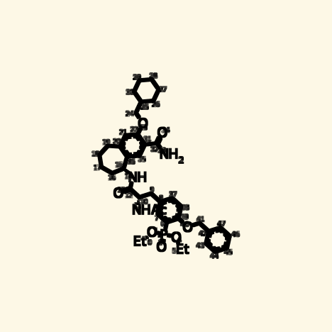 CCOP(=O)(OCC)c1cc(C[C@H](NC(C)=O)C(=O)N[C@H]2CCCCc3cc(OCC4CCCCC4)c(C(N)=O)cc32)ccc1OCc1ccccc1